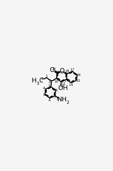 CCC(c1cccc(N)c1)c1c(O)c2ccccc2oc1=O